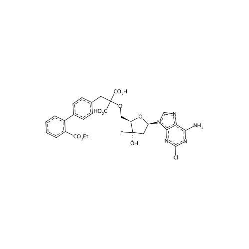 CCOC(=O)c1ccccc1-c1ccc(CC(OC[C@H]2O[C@@H](n3cnc4c(N)nc(Cl)nc43)C[C@@]2(O)F)(C(=O)O)C(=O)O)cc1